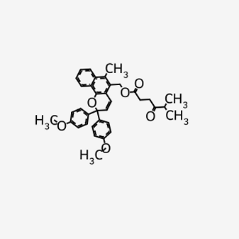 COc1ccc(C2(c3ccc(OC)cc3)C=Cc3c(COC(=O)CCC(=O)C(C)C)c(C)c4ccccc4c3O2)cc1